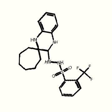 O=S(=O)(NNC1Nc2ccccc2NC12CCCCCC2)c1ccccc1C(F)(F)F